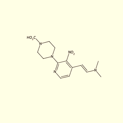 CN(C)C=Cc1ccnc(N2CCN(C(=O)O)CC2)c1[N+](=O)[O-]